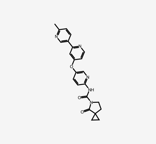 Cc1ccc(-c2cc(Oc3ccc(NC(=O)N4CCC5(CC5)C4=O)nc3)ccn2)cn1